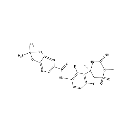 BC(B)(B)Oc1cnc(C(=O)Nc2ccc(F)c([C@]3(C)CS(=O)(=O)N(C)C(=N)N3)c2F)cn1